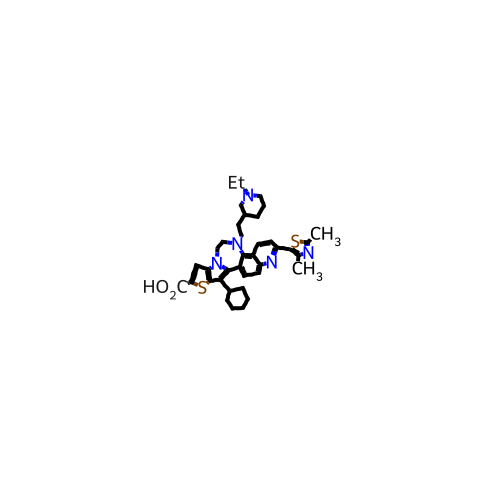 CCN1CCCC(CCN2CCn3c(c(C4CCCCC4)c4sc(C(=O)O)cc43)-c3ccc4nc(-c5sc(C)nc5C)ccc4c32)C1